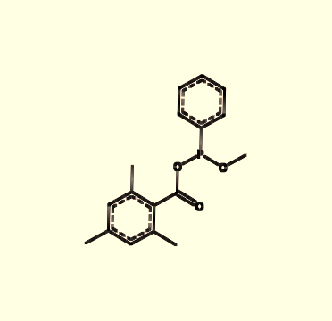 COP(OC(=O)c1c(C)cc(C)cc1C)c1ccccc1